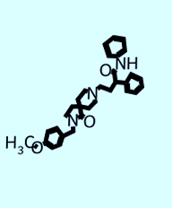 COc1ccc(CN2CCC3(CCN(CCC(C(=O)Nc4ccccc4)c4ccccc4)CC3)C2=O)cc1